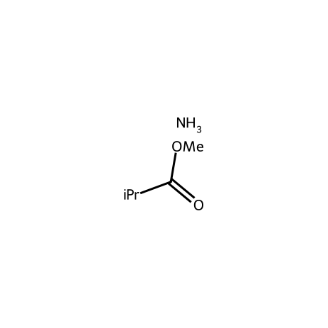 COC(=O)C(C)C.N